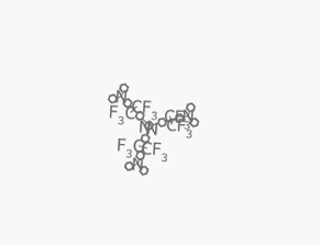 FC(F)(F)C(c1ccc(-c2cc(-c3ccc(C(c4ccc(N(c5ccccc5)c5ccccc5)cc4)(C(F)(F)F)C(F)(F)F)cc3)nc(-c3ccc(C(c4ccc(N(c5ccccc5)c5ccccc5)cc4)(C(F)(F)F)C(F)(F)F)cc3)n2)cc1)(c1ccc(N(c2ccccc2)c2ccccc2)cc1)C(F)(F)F